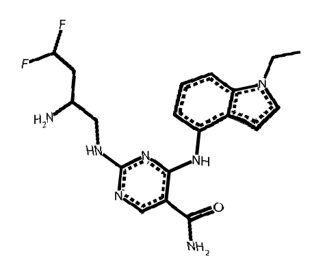 CCn1ccc2c(Nc3nc(NCC(N)CC(F)F)ncc3C(N)=O)cccc21